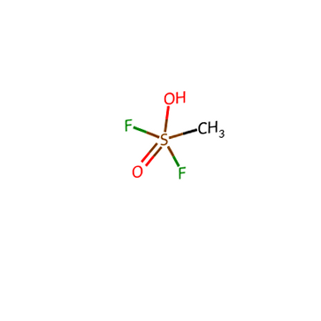 CS(=O)(O)(F)F